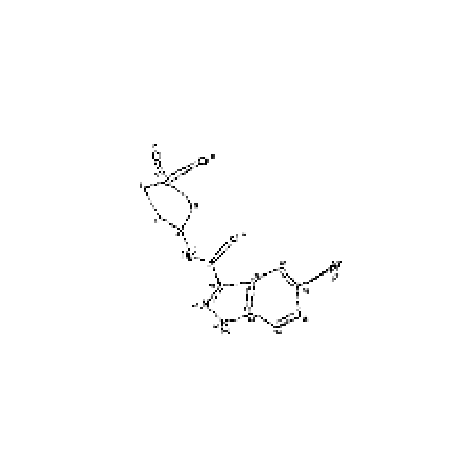 O=C(NC1CCS(=O)(=O)C1)c1n[nH]c2ccc(Br)cc12